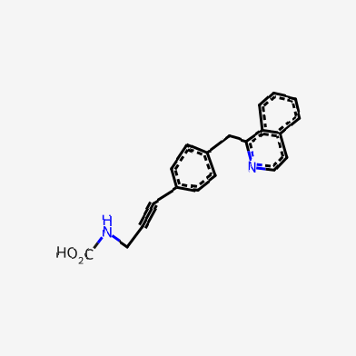 O=C(O)NCC#Cc1ccc(Cc2nccc3ccccc23)cc1